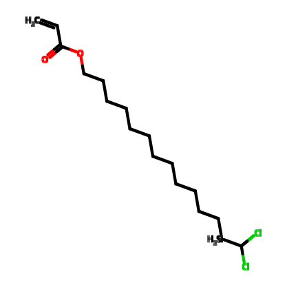 C=CC(=O)OCCCCCCCCCCCC[SiH2]C(Cl)Cl